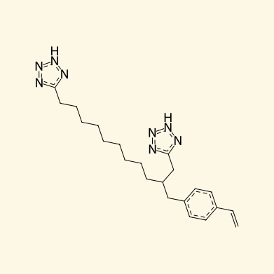 C=Cc1ccc(CC(CCCCCCCCCc2nn[nH]n2)Cc2nn[nH]n2)cc1